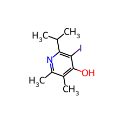 Cc1nc(C(C)C)c(I)c(O)c1C